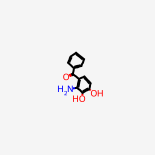 Nc1c(C(=O)c2ccccc2)ccc(O)c1O